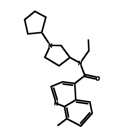 CCN(C(=O)c1ccnc2c(C)cccc12)C1CCN(C2CCCC2)C1